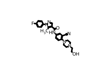 Cc1c(C(=O)Nc2ccc(N3CCN(CCO)CC3)c(C#N)c2)cnn1-c1ccc(F)cc1